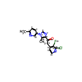 Cc1ccc(-n2cnc(C(=O)Cc3ccnc(Cl)c3F)c2C)cn1